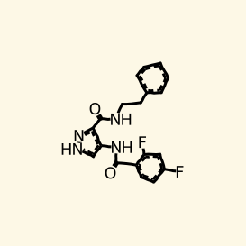 O=C(Nc1c[nH]nc1C(=O)NCCc1ccccc1)c1ccc(F)cc1F